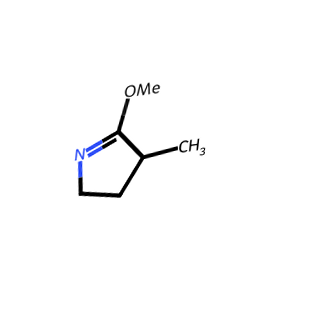 COC1=NCCC1C